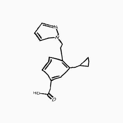 O=C(O)c1ccc(Cn2cccn2)c(C2CC2)c1